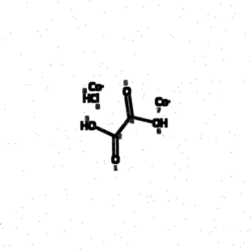 Cl.O=C(O)C(=O)O.[Co].[Co]